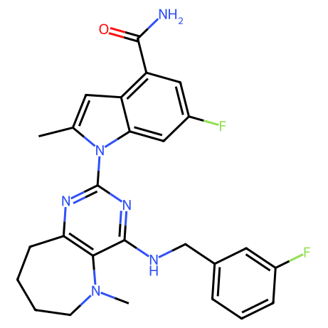 Cc1cc2c(C(N)=O)cc(F)cc2n1-c1nc2c(c(NCc3cccc(F)c3)n1)N(C)CCCC2